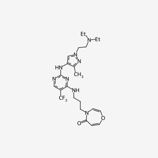 CCN(CC)CCn1cc(Nc2ncc(C(F)(F)F)c(NCCCN3C=COC=CC3=O)n2)c(C)n1